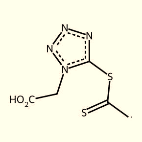 [CH2]C(=S)Sc1nnnn1CC(=O)O